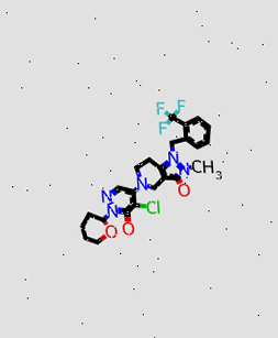 Cn1c(=O)c2c(n1Cc1ccccc1C(F)(F)F)CCN(c1cnn(C3CCCCO3)c(=O)c1Cl)C2